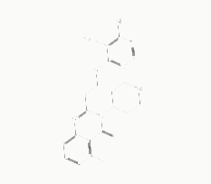 N#Cc1c(N)ncnc1NCCc1nc2cccc(Cl)c2c(=O)n1C1CCNCC1